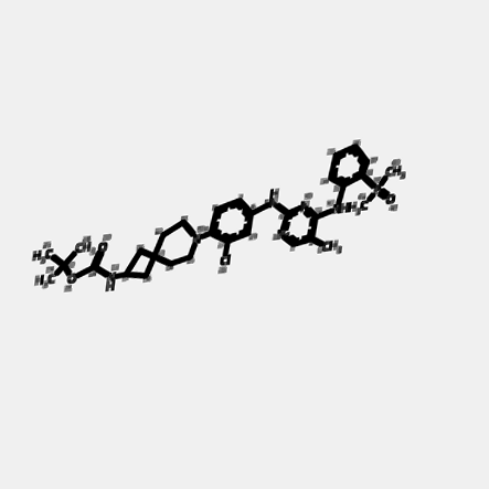 Cc1cnc(Nc2ccc(N3CCC4(CC3)CC(NC(=O)OC(C)(C)C)C4)c(Cl)c2)nc1Nc1ccccc1P(C)(C)=O